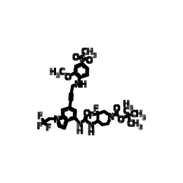 COc1cc(S(C)(=O)=O)ccc1NCC#Cc1cc(NC(=O)NC2CCN(C(=O)OC(C)(C)C)CC2(F)F)c2ccn(CC(F)(F)F)c2c1